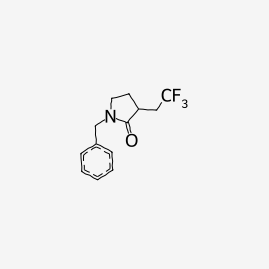 O=C1C(CC(F)(F)F)CCN1Cc1ccccc1